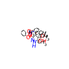 CC1NN=C(C(=O)Oc2ccccc2)C(c2ccccc2[N+](=O)[O-])C1(C(=O)O)C(C)(C)C